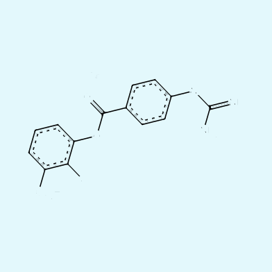 Br.N=C(N)Nc1ccc(C(=O)Oc2cccc(C(=O)O)c2Cl)cc1